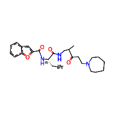 CC(C)C[C@H](NC(=O)c1cc2ccccc2o1)C(=O)NCC(C)C(=O)CCN1CCCCCC1